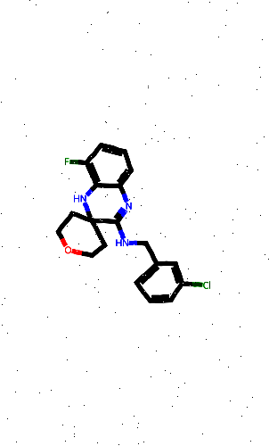 Fc1cccc2c1NC1(CCOCC1)C(NCc1cccc(Cl)c1)=N2